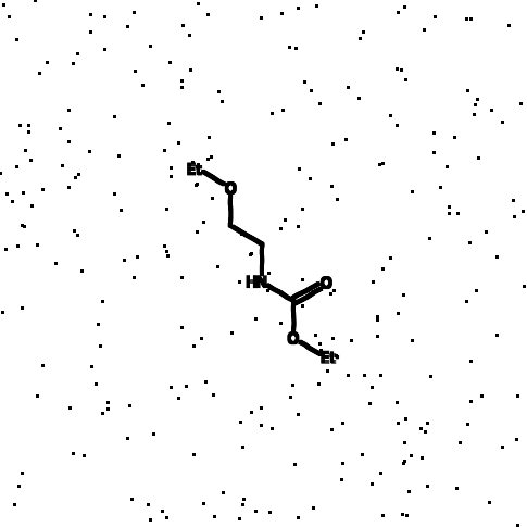 C[CH]OC(=O)NCCOCC